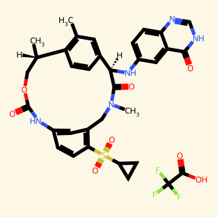 Cc1cc2ccc1[C@@H](C)COC(=O)Nc1ccc(S(=O)(=O)C3CC3)c(c1)CN(C)C(=O)[C@@H]2Nc1ccc2nc[nH]c(=O)c2c1.O=C(O)C(F)(F)F